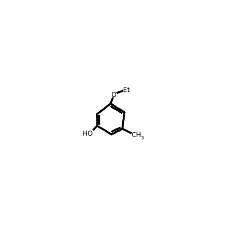 CCOc1cc(C)cc(O)c1